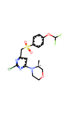 C[C@H]1COCCN1c1cc(CS(=O)(=O)c2ccc(OC(F)F)cc2)nc(Cl)n1